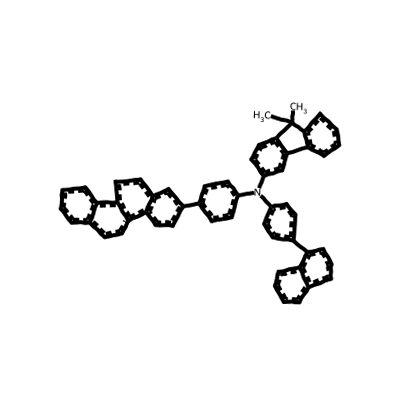 CC1(C)c2ccccc2-c2cc(N(c3ccc(-c4ccc5c(ccc6c7ccccc7ccc56)c4)cc3)c3ccc(-c4cccc5ccccc45)cc3)ccc21